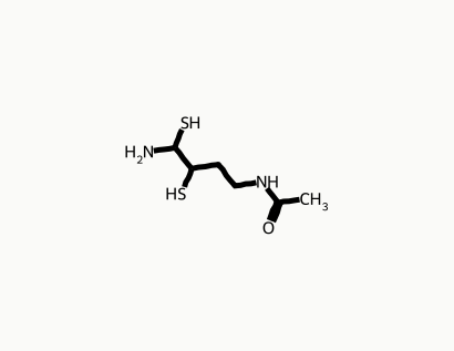 CC(=O)NCCC(S)C(N)S